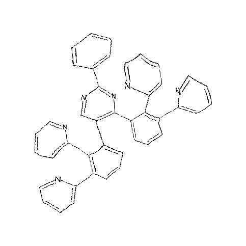 c1ccc(-c2ncc(-c3cccc(-c4ccccn4)c3-c3ccccn3)c(-c3cccc(-c4ccccn4)c3-c3ccccn3)n2)cc1